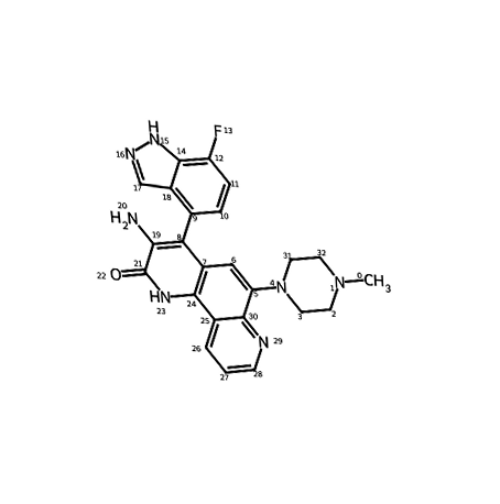 CN1CCN(c2cc3c(-c4ccc(F)c5[nH]ncc45)c(N)c(=O)[nH]c3c3cccnc23)CC1